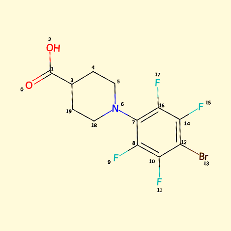 O=C(O)C1CCN(c2c(F)c(F)c(Br)c(F)c2F)CC1